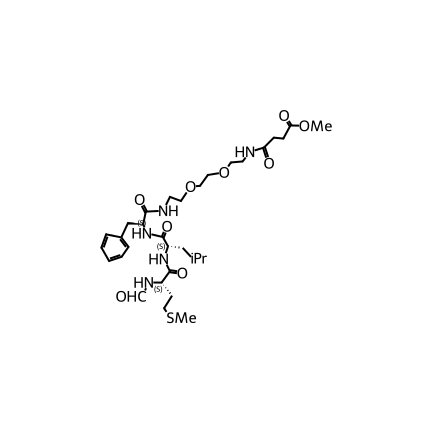 COC(=O)CCC(=O)NCCOCCOCCNC(=O)[C@H](Cc1ccccc1)NC(=O)[C@H](CC(C)C)NC(=O)[C@H](CCSC)NC=O